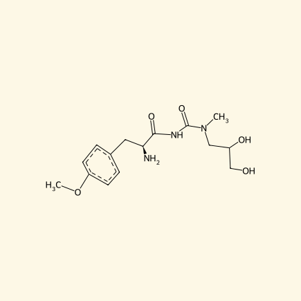 COc1ccc(C[C@H](N)C(=O)NC(=O)N(C)CC(O)CO)cc1